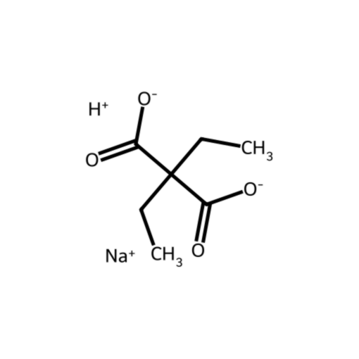 CCC(CC)(C(=O)[O-])C(=O)[O-].[H+].[Na+]